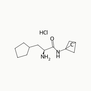 Cl.N[C@@H](CC1CCCC1)C(=O)NC12CC(C1)C2